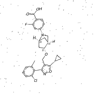 Cc1cccc(Cl)c1-c1noc(C2CC2)c1CO[C@@H]1C[C@@H]2C[C@H]1CN2c1ccc(C(=O)O)c(F)c1